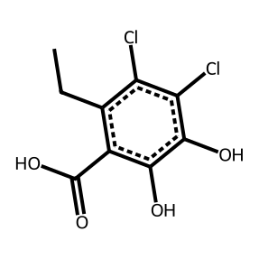 CCc1c(Cl)c(Cl)c(O)c(O)c1C(=O)O